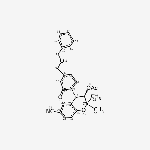 CC(=O)O[C@@H]1[C@@H](n2ccc(COCc3ccccc3)cc2=O)c2cc(C#N)ccc2OC1(C)C